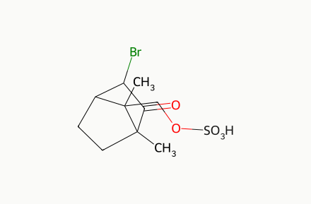 CC12CCC(C(Br)C1=O)C2(C)COS(=O)(=O)O